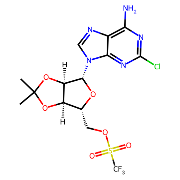 CC1(C)O[C@@H]2[C@H](O1)[C@@H](COS(=O)(=O)C(F)(F)F)O[C@H]2n1cnc2c(N)nc(Cl)nc21